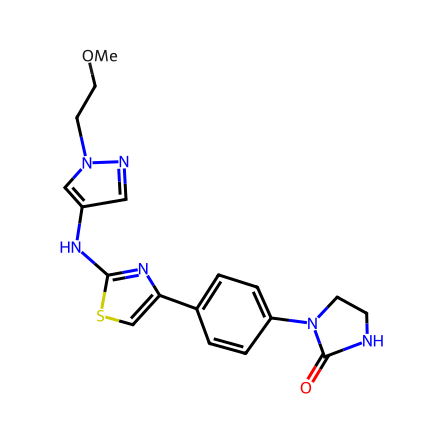 COCCn1cc(Nc2nc(-c3ccc(N4CCNC4=O)cc3)cs2)cn1